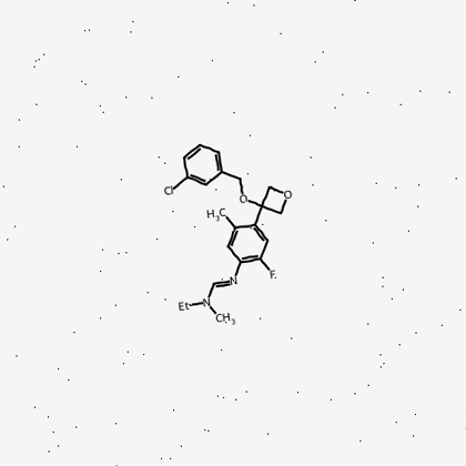 CCN(C)C=Nc1cc(C)c(C2(OCc3cccc(Cl)c3)COC2)cc1F